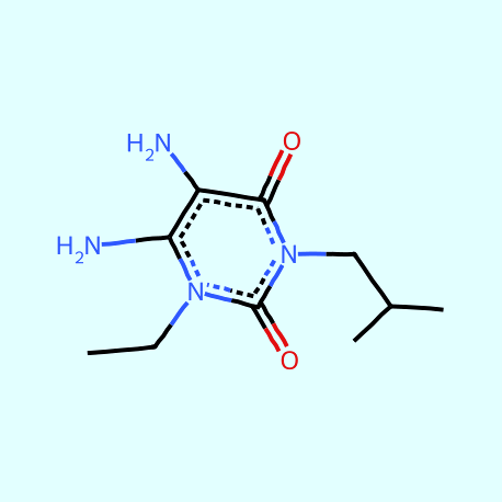 CCn1c(N)c(N)c(=O)n(CC(C)C)c1=O